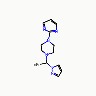 [CH2]CCC(N1CCN(c2ncccn2)CC1)n1cccn1